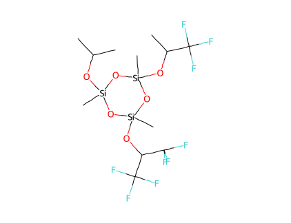 CC(C)O[Si]1(C)O[Si](C)(OC(C)C(F)(F)F)O[Si](C)(OC(C(F)(F)F)C(F)(F)F)O1